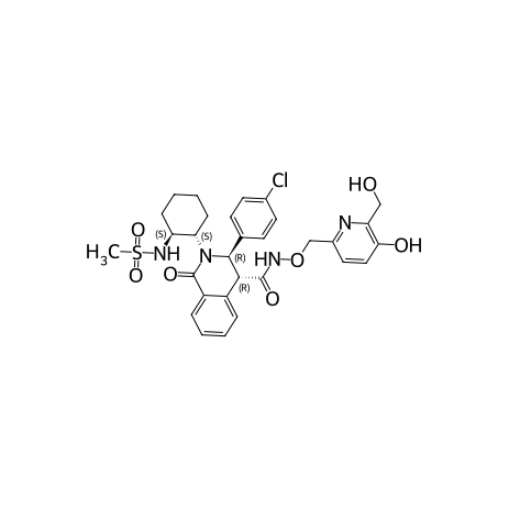 CS(=O)(=O)N[C@H]1CCCC[C@@H]1N1C(=O)c2ccccc2[C@@H](C(=O)NOCc2ccc(O)c(CO)n2)[C@@H]1c1ccc(Cl)cc1